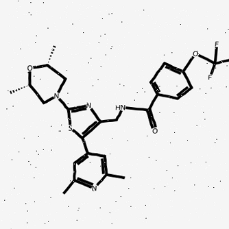 Cc1cc(-c2sc(N3C[C@@H](C)O[C@@H](C)C3)nc2CNC(=O)c2ccc(OC(F)(F)F)cc2)cc(C)n1